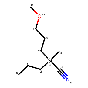 CCC[Si](C)(C#N)CCCOC